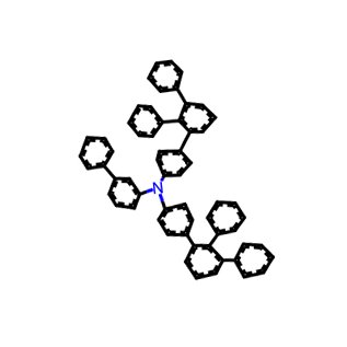 c1ccc(-c2cccc(N(c3ccc(-c4cccc(-c5ccccc5)c4-c4ccccc4)cc3)c3ccc(-c4cccc(-c5ccccc5)c4-c4ccccc4)cc3)c2)cc1